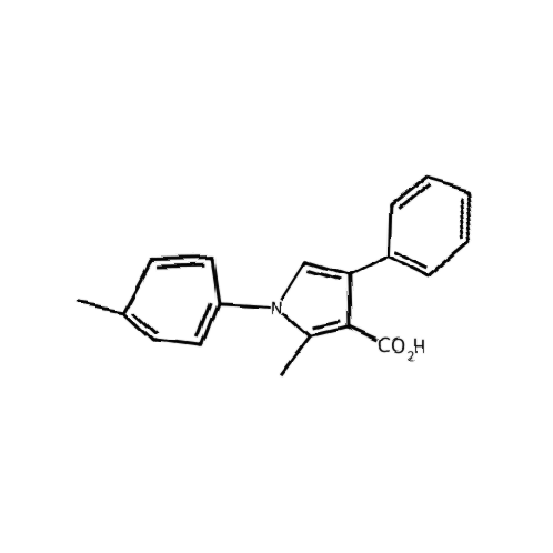 Cc1ccc(-n2cc(-c3ccccc3)c(C(=O)O)c2C)cc1